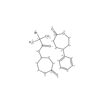 CC(C)(Br)C(=O)OC1CCOC(=O)CC1.O=C1CCC(c2ccccc2)CCO1